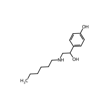 CCCCCCNCC(O)c1ccc(O)cc1